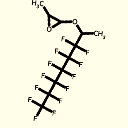 CC1OC1OC(C)C(F)(F)C(F)(F)C(F)(F)C(F)(F)C(F)(F)C(F)(F)F